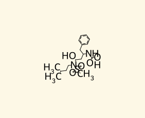 CC(C)CCN(C(O)CC(Cc1ccccc1)NC(=O)O)S(C)(=O)=O